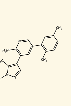 Cc1ccc(C)c(-c2cnc(N)c(-c3cnn(C)c3C)c2)c1